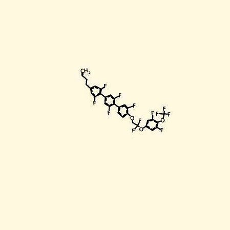 C=CCCc1cc(F)c(-c2cc(F)c(-c3ccc(OCC(F)(F)Oc4cc(F)c(OC(F)(F)F)c(F)c4)c(F)c3)c(F)c2)c(F)c1